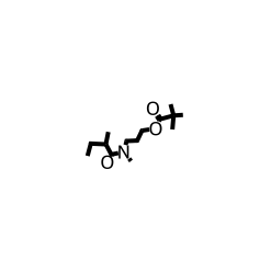 CCC(C)C(=O)N(C)CCCOC(=O)C(C)(C)C